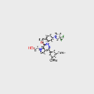 COc1cc(OC)cc(-c2nn(-c3cc(N4CCC(F)(F)C4)ccc3C(F)(F)F)c(=O)c3c2ccn3CCO)c1